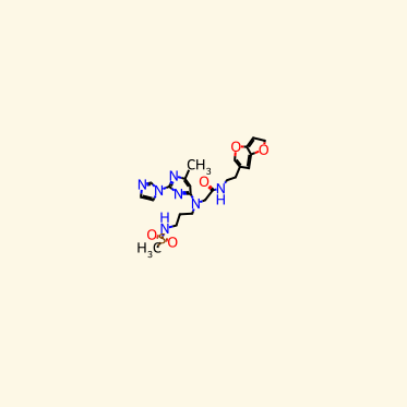 Cc1cc(N(CCCNS(C)(=O)=O)CC(=O)NCCC2=COC3=CCOC3=C2)nc(-n2ccnc2)n1